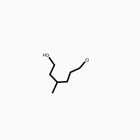 CC(CCO)CCCCl